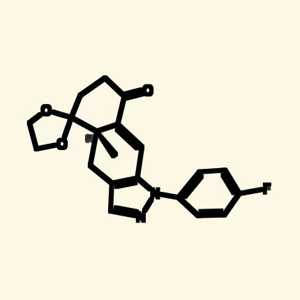 C[C@]12Cc3cnn(-c4ccc(F)cc4)c3C=C1C(=O)CCC21OCCO1